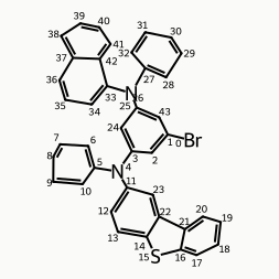 Brc1cc(N(c2ccccc2)c2ccc3sc4ccccc4c3c2)cc(N(c2ccccc2)c2cccc3ccccc23)c1